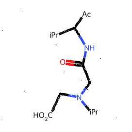 CC(=O)C(NC(=O)CN(CC(=O)O)C(C)C)C(C)C